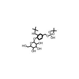 CC(C)(C)Nc1cc(COP(=O)(O)OC(C)(C)C)ccc1OC1OC(CO)C(O)C(O)C1O